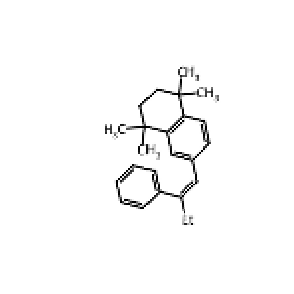 CCC(=Cc1ccc2c(c1)C(C)(C)CCC2(C)C)c1ccccc1